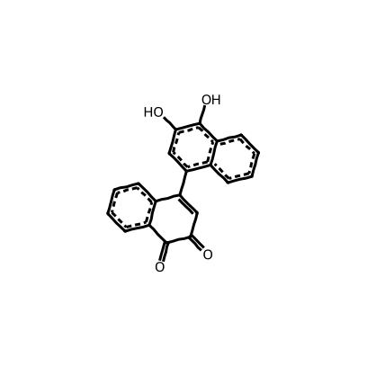 O=C1C=C(c2cc(O)c(O)c3ccccc23)c2ccccc2C1=O